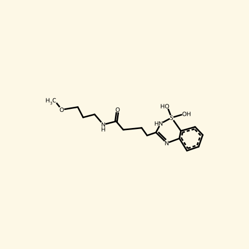 COCCCNC(=O)CCCC1=Nc2ccccc2S(O)(O)N1